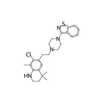 Cc1c(Cl)c(CCN2CCN(c3nsc4ccccc34)CC2)cc2c1NCCC2(C)C